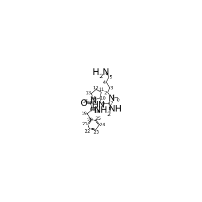 CN(CCCCN)C(=N)NC1CCCN1C(=O)[C@H](N)Cc1ccccc1